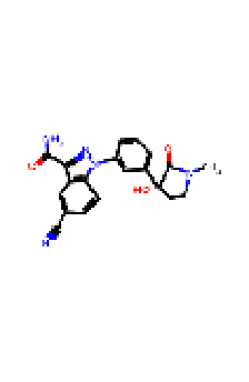 CN1CC[C@@](O)(c2cccc(-n3nc(C(N)=O)c4cc(C#N)ccc43)c2)C1=O